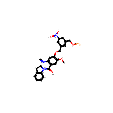 C=Nc1cc(OCc2cc(COP)cc([N+](=O)[O-])c2)c(OC)cc1C(=O)N1CCc2ccccc21